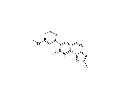 COc1cccc(-c2cc3cnc4cc(C)nn4c3[nH]c2=O)c1